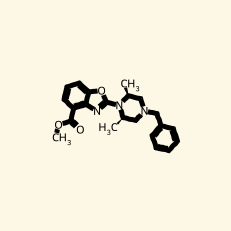 COC(=O)c1cccc2oc(N3[C@@H](C)CN(Cc4ccccc4)C[C@@H]3C)nc12